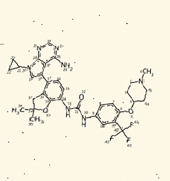 CN1CCC(Oc2ccc(NC(=O)Nc3ccc(-c4cn(C5CC5)c5ncnc(N)c45)c4c3OC(C)(C)C4)cc2C(F)(F)F)CC1